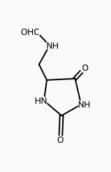 O=CNCC1NC(=O)NC1=O